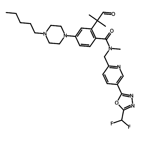 CCCCCN1CCN(c2ccc(C(=O)N(C)Cc3ccc(-c4nnc(C(F)F)o4)cn3)c(C(C)(C)C=O)c2)CC1